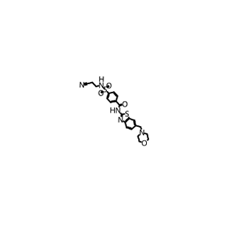 N#CCCNS(=O)(=O)c1ccc(C(=O)Nc2nc3ccc(CN4CCOCC4)cc3s2)cc1